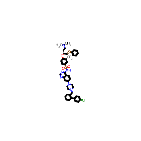 CN(C)CC[C@H](CSc1ccccc1)Oc1ccc(S(=O)(=O)Nc2ncnc3cc(N4CCN(CC5=C(c6ccc(Cl)cc6)CCCC5)CC4)ccc23)cc1C(F)(F)F